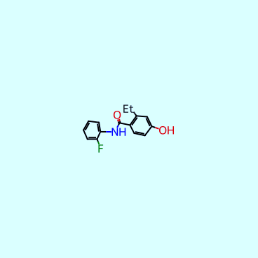 CCc1cc(O)ccc1C(=O)Nc1ccccc1F